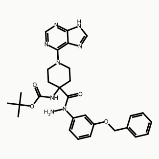 CC(C)(C)OC(=O)NC1(C(=O)N(N)c2cccc(OCc3ccccc3)c2)CCN(c2ncnc3[nH]cnc23)CC1